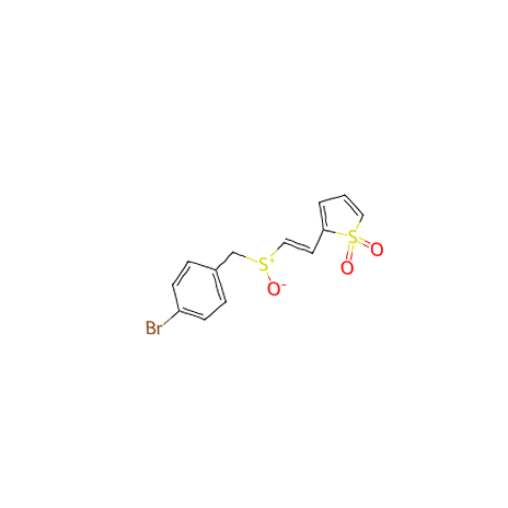 O=S1(=O)C=CC=C1C=C[S+]([O-])Cc1ccc(Br)cc1